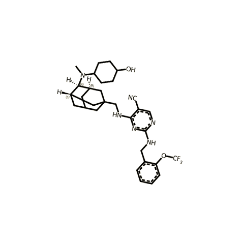 CN(C1CCC(O)CC1)[C@H]1[C@@H]2CC3C[C@H]1CC(CNc1nc(NCc4ccccc4OC(F)(F)F)ncc1C#N)(C3)C2